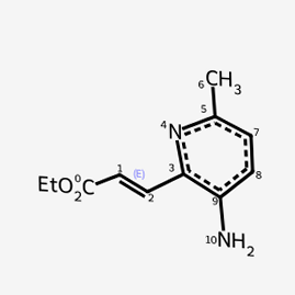 CCOC(=O)/C=C/c1nc(C)ccc1N